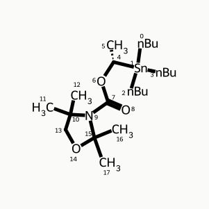 CCC[CH2][Sn]([CH2]CCC)([CH2]CCC)[C@@H](C)OC(=O)N1C(C)(C)COC1(C)C